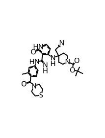 Cc1cc(NC(=N)c2c(NC3(CC#N)CCN(C(=O)OC(C)(C)C)CC3)cc[nH]c2=O)ccc1C(=O)N1CCSCC1